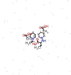 C=CC(NN1CCCCC1)C(=O)O.C=CN1CCCCC1.CC(=O)O.CC(=O)O